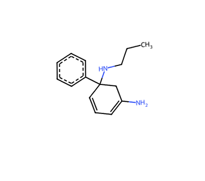 CCCNC1(c2ccccc2)C=CC=C(N)C1